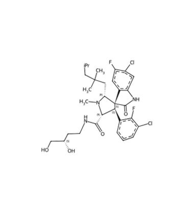 CC(C)CC(C)(C)C[C@H]1N(C)[C@@H](C(=O)NCC[C@H](O)CO)[C@H](c2cccc(Cl)c2F)[C@@]12C(=O)Nc1cc(Cl)c(F)cc12